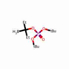 BC(CC)(CC)OP(=O)(OC(C)(C)C)OC(C)(C)C